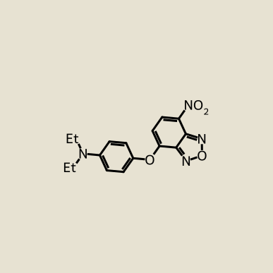 CCN(CC)c1ccc(Oc2ccc([N+](=O)[O-])c3nonc23)cc1